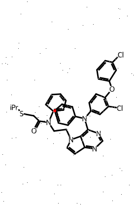 CC(C)SCC(=O)N(CCn1ccc2ncnc(N(c3ccccc3)c3ccc(Oc4cccc(Cl)c4)c(Cl)c3)c21)c1ccccc1